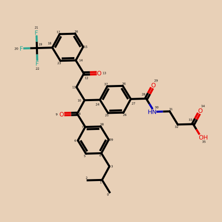 CC(C)Cc1ccc(C(=O)C(CC(=O)c2cccc(C(F)(F)F)c2)c2ccc(C(=O)NCCC(=O)O)cc2)cc1